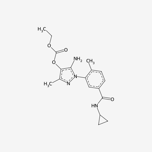 CCOC(=O)Oc1c(C)nn(-c2cc(C(=O)NC3CC3)ccc2C)c1N